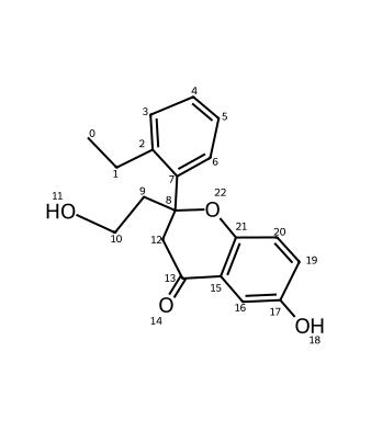 CCc1ccccc1C1(CCO)CC(=O)c2cc(O)ccc2O1